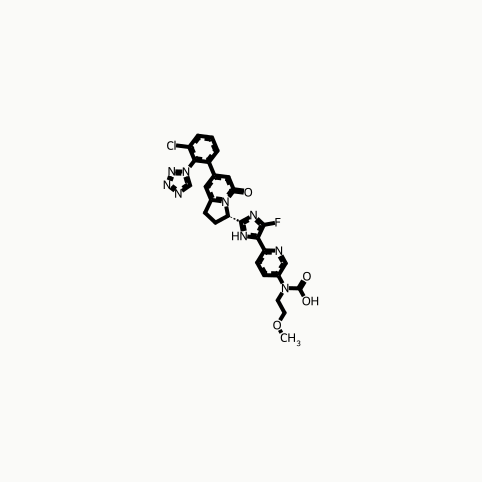 COCCN(C(=O)O)c1ccc(-c2[nH]c([C@@H]3CCc4cc(-c5cccc(Cl)c5-n5cnnn5)cc(=O)n43)nc2F)nc1